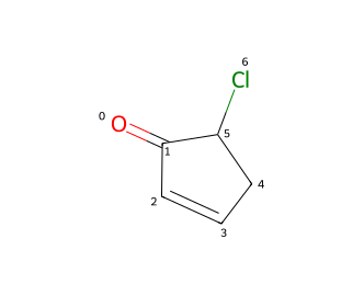 O=C1C=CCC1Cl